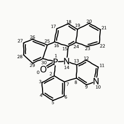 O=P12c3ccccc3-c3cnccc3N1c1c(ccc3ccccc13)-c1ccccc12